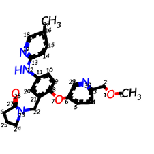 COCc1ccc(Oc2ccc(Nc3ccc(C)cn3)cc2CN2CCCC2=O)cn1